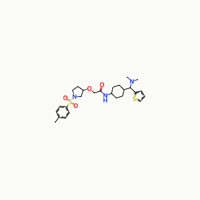 Cc1ccc(S(=O)(=O)N2CCC(OCC(=O)NC3CCC(C(c4cccs4)N(C)C)CC3)C2)cc1